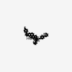 C[C@]12Cc3cnn(-c4ccc(F)cc4)c3C=C1CCC1C2[C@@H](O)C[C@@]2(C)C1CC[C@]2(OC(=O)c1ccco1)C(=O)SCc1ccc(-c2ccccn2)cc1